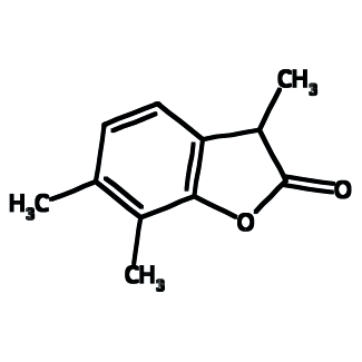 Cc1ccc2c(c1C)OC(=O)C2C